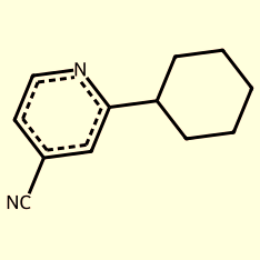 N#Cc1ccnc(C2CCCCC2)c1